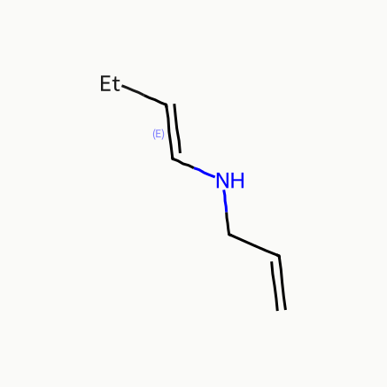 C=CCN/C=C/CC